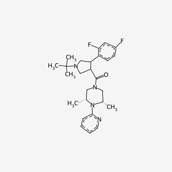 C[C@@H]1CN(C(=O)C2CN(C(C)(C)C)CC2c2ccc(F)cc2F)C[C@H](C)N1c1ccccn1